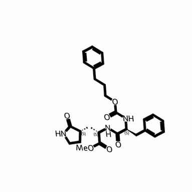 COC(=O)[C@H](C[C@@H]1CCNC1=O)NC(=O)[C@H](Cc1ccccc1)NC(=O)OCCCc1ccccc1